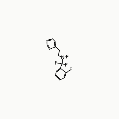 Fc1ccccc1C(F)(F)N(F)CCc1ccccc1